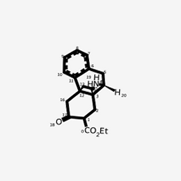 CCOC(=O)C1C[C@H]2[C@H]3Cc4ccccc4[C@@]2(CCN3)CC1=O